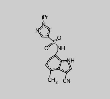 Cc1ccc(NS(=O)(=O)c2cnn(C(C)C)c2)c2[nH]cc(C#N)c12